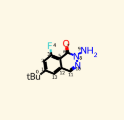 CC(C)(C)c1cc(F)c2c(=O)n(N)ncc2c1